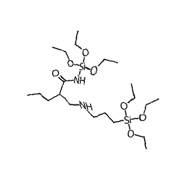 CCCC(CNCCC[Si](OCC)(OCC)OCC)C(=O)N[Si](OCC)(OCC)OCC